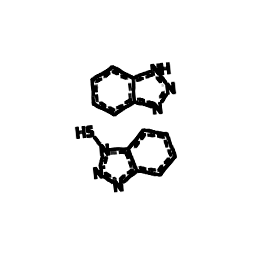 Sn1nnc2ccccc21.c1ccc2[nH]nnc2c1